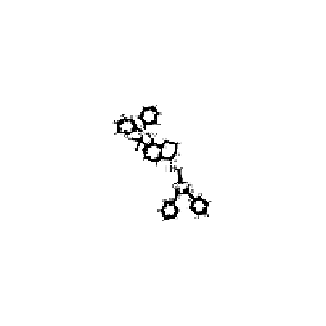 CC(C)(C)[Si](Oc1cccc2c1CCC[C@@H]2NCc1nc(-c2ccccc2)c(-c2ccccc2)o1)(c1ccccc1)c1ccccc1